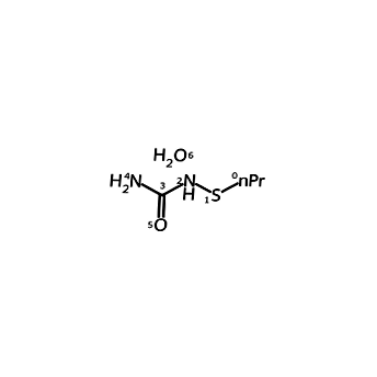 CCCSNC(N)=O.O